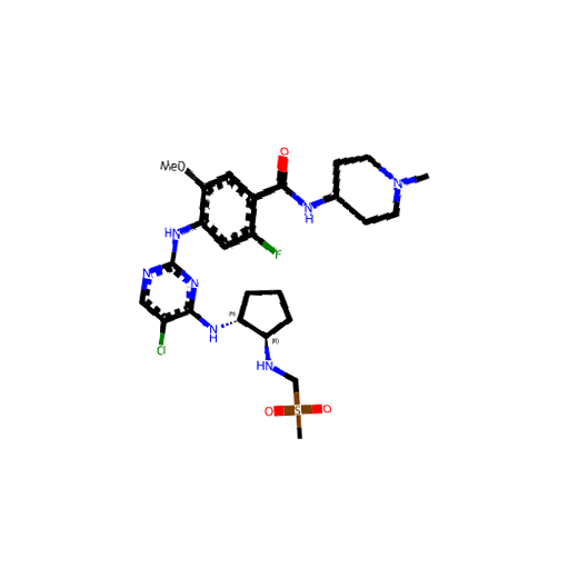 COc1cc(C(=O)NC2CCN(C)CC2)c(F)cc1Nc1ncc(Cl)c(N[C@@H]2CCC[C@H]2NCS(C)(=O)=O)n1